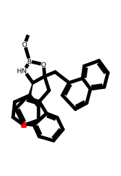 COB1N[C@H](C2CCCCC2)C(Cc2cccc3ccccc23)(Cc2cccc3ccccc23)O1